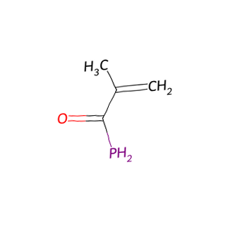 C=C(C)C(=O)P